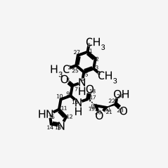 Cc1cc(C)c(NC(=O)C(Cc2cnc[nH]2)NC(=O)[C@H]2O[C@@H]2C(=O)O)c(C)c1